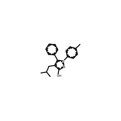 Cc1ccc(-n2nc(O)c(CC(C)C)c2-c2ccccc2)cc1